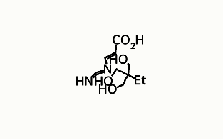 CCC(CO)(CO)CO.N=C=NC=CC(=O)O